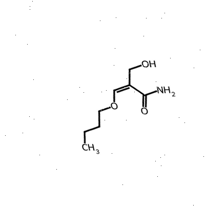 CCCCOC=C(CO)C(N)=O